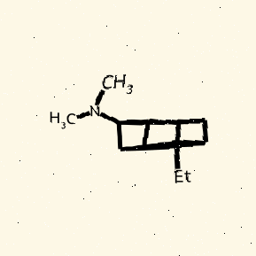 CCC12C3C4C1C1C2C3C41N(C)C